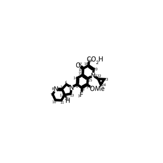 COc1c(F)c(N2CC3=NCCC[C@H]3C2)cc2c(=O)c(C(=O)O)cn(C3CC3)c12